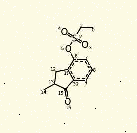 CCS(=O)(=O)Oc1cccc2c1CC(C)C2=O